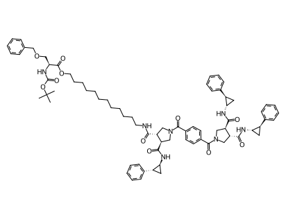 CC(C)(C)OC(=O)N[C@@H](COCc1ccccc1)C(=O)OCCCCCCCCCCCCNC(=O)[C@@H]1CN(C(=O)c2ccc(C(=O)N3C[C@@H](C(=O)N[C@H]4C[C@@H]4c4ccccc4)[C@H](C(=O)N[C@H]4C[C@@H]4c4ccccc4)C3)cc2)C[C@H]1C(=O)N[C@H]1C[C@@H]1c1ccccc1